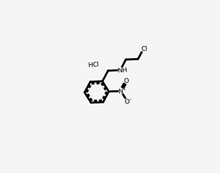 Cl.O=[N+]([O-])c1ccccc1CNCCCl